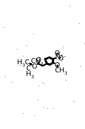 COc1cc(CC(=O)OC(C)(C)C)ccc1[N+](=O)[O-]